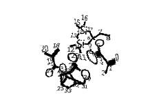 C=C(C)C(=O)OC1(CC)C[Si](C)(C)C[Si](C)(C)C1.C=C(C)C(=O)OC1C2CC3C(=O)OC1C3C2